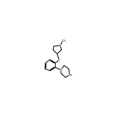 CN1CCC(Oc2ccccc2N2CCNCC2)C1